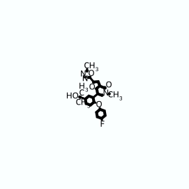 Cc1nnc(-c2cc3c(=O)n(C)cc(-c4cc(C(C)(C)O)ccc4Oc4ccc(F)cc4)c3o2)o1